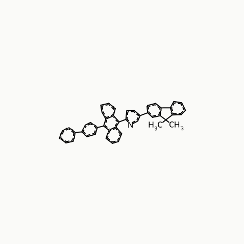 CC1(C)c2ccccc2-c2ccc(-c3ccc(-c4c5ccccc5c(-c5ccc(-c6ccccc6)cc5)c5ccccc45)nc3)cc21